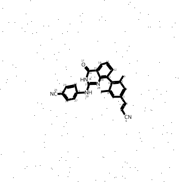 Cc1cc(C=CC#N)cc(C)c1-c1cccc2c(=O)[nH]c(Nc3ccc(C#N)cc3)nc12